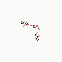 CCC(C)(CCOC(C)(C)CCN(C)CCCOc1ccc2sc3ccccc3c(=O)c2c1)N(C)CCCOc1ccc2sc3ccccc3c(=O)c2c1